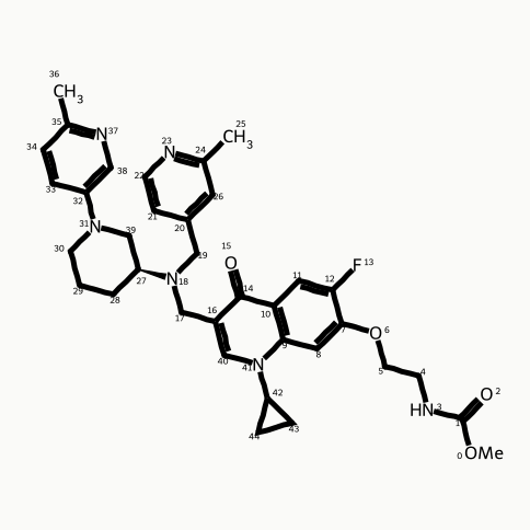 COC(=O)NCCOc1cc2c(cc1F)c(=O)c(CN(Cc1ccnc(C)c1)[C@H]1CCCN(c3ccc(C)nc3)C1)cn2C1CC1